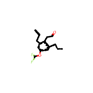 CCCc1cc(OC(F)F)cc(CCC)c1CC=O